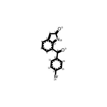 O=C1C=c2cccc(C(=O)c3ccc(Br)cc3)c2=N1